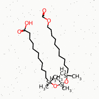 C[Si](C)(CCCCCCCCCCOC=O)O[Si](C)(C)O[Si](C)(C)CCCCCCCCCCC(=O)O